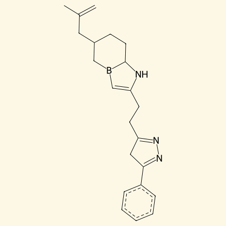 C=C(C)CC1CCC2NC(CCC3=NN=C(c4ccccc4)C3)=CB2C1